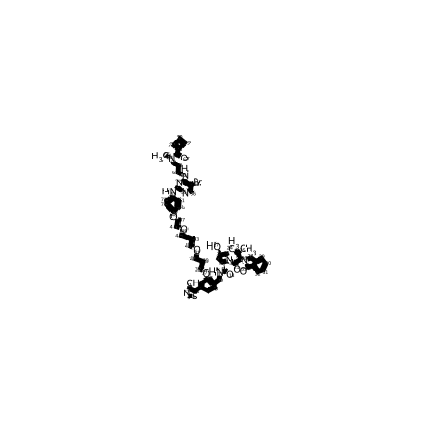 Cc1ncsc1-c1ccc(CNC(=O)[C@@H]2C[C@@H](O)CN2C(=O)C(C(C)C)N2Cc3ccccc3C2=O)c(OCCCOCCCOCCOc2ccc(Nc3ncc(Br)c(NCCCN(C)C(=O)C4CCC4)n3)cc2)c1